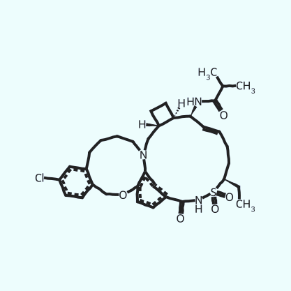 CC[C@@H]1CC/C=C/[C@H](NC(=O)C(C)C)[C@@H]2CC[C@H]2CN2CCCCc3cc(Cl)ccc3COc3ccc(cc32)C(=O)NS1(=O)=O